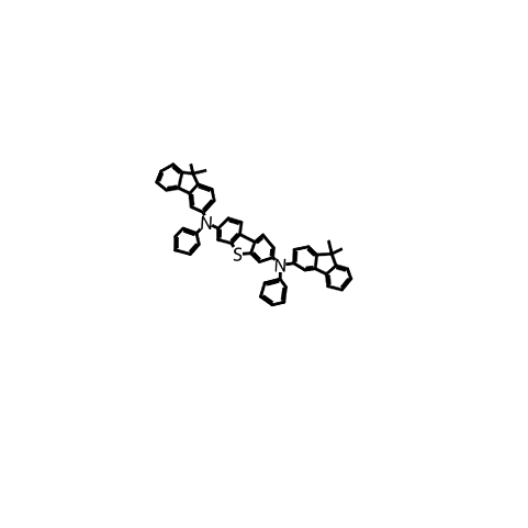 CC1(C)c2ccccc2-c2cc(N(c3ccccc3)c3ccc4c(c3)sc3cc(N(c5ccccc5)c5ccc6c(c5)-c5ccccc5C6(C)C)ccc34)ccc21